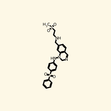 CS(=O)(=O)CCNCc1ccc2c(c1)N(Nc1ccc(S(=O)(=O)c3ccccc3)cc1)CN=C2